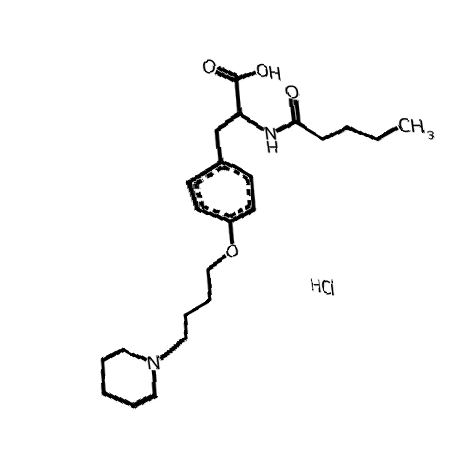 CCCCC(=O)NC(Cc1ccc(OCCCCN2CCCCC2)cc1)C(=O)O.Cl